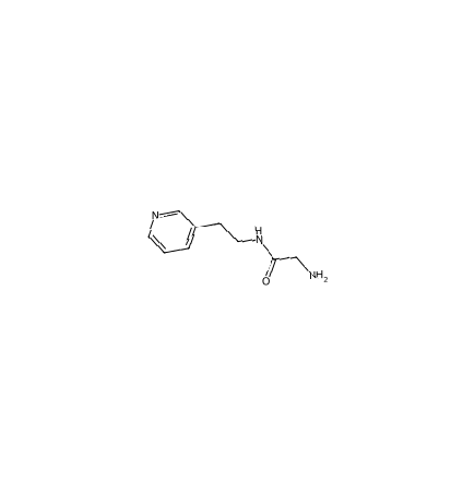 NCC(=O)NCCc1cccnc1